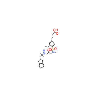 CCc1cc(CCCC(=O)O)ccc1S(=O)(=O)N(C)C[C@H](O)CNC(C)(C)CC1Cc2ccccc2C1